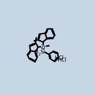 CC1=Cc2ccccc2[CH]1[Zr]([CH3])([SiH2]c1ccccc1)[CH]1C(C)=Cc2ccccc21.Cl.Cl